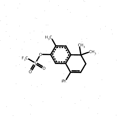 Cc1cc2c(cc1OS(=O)(=O)C(F)(F)F)C(C(C)C)=CCC2(C)C